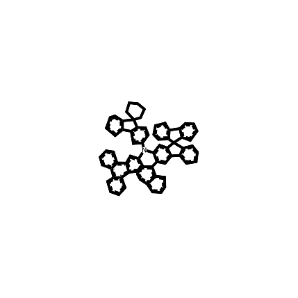 c1ccc2c(c1)-c1cc(N(c3ccc4c5ccccc5c5ccccc5c4c3)c3cc4c(cc3-c3cccc5ccccc35)-c3ccccc3C43c4ccccc4-c4ccccc43)ccc1C21CCCCC1